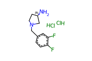 Cl.Cl.N[C@@H]1CCN(Cc2ccc(F)c(F)c2)C1